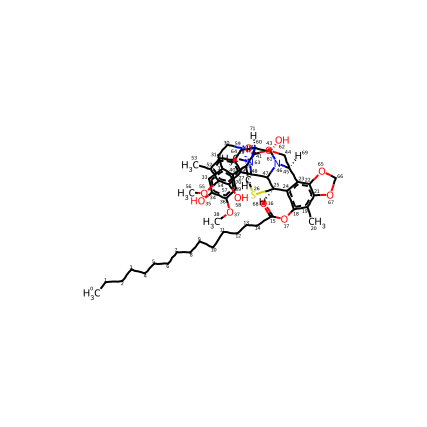 CCCCCCCCCCCCCCCC(=O)Oc1c(C)c2c(c3c1[C@H]1SC[C@]4(NCCc5cc(O)c(OC)cc54)C(=O)OC[C@@H]3N3C1[C@H]1c4c(cc(C)c(OC)c4O)C[C@@H]([C@@H]3O)N1C)OCO2